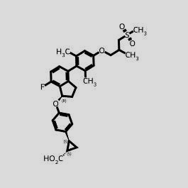 Cc1cc(OCC(C)CS(C)(=O)=O)cc(C)c1-c1ccc(F)c2c1CC[C@H]2Oc1ccc([C@H]2C[C@@H]2C(=O)O)cc1